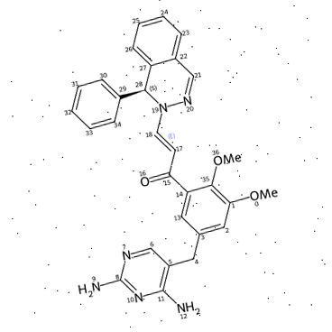 COc1cc(Cc2cnc(N)nc2N)cc(C(=O)/C=C/N2N=Cc3ccccc3[C@@H]2c2ccccc2)c1OC